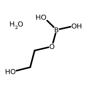 O.OCCOB(O)O